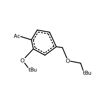 CC(=O)c1ccc(COCC(C)(C)C)cc1OC(C)(C)C